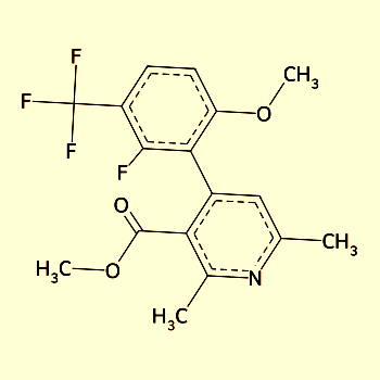 COC(=O)c1c(-c2c(OC)ccc(C(F)(F)F)c2F)cc(C)nc1C